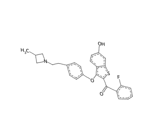 CC1CN(CCc2ccc(Oc3c(C(=O)c4ccccc4F)sc4cc(O)ccc34)cc2)C1